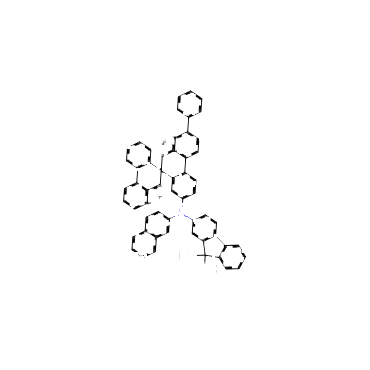 CC1(C)c2ccccc2-c2ccc(N(c3ccc4c(c3)C3(c5ccccc5-c5cccc6cccc3c56)c3cccc5c(-c6ccccc6)ccc-4c35)c3ccc4ccccc4c3)cc21